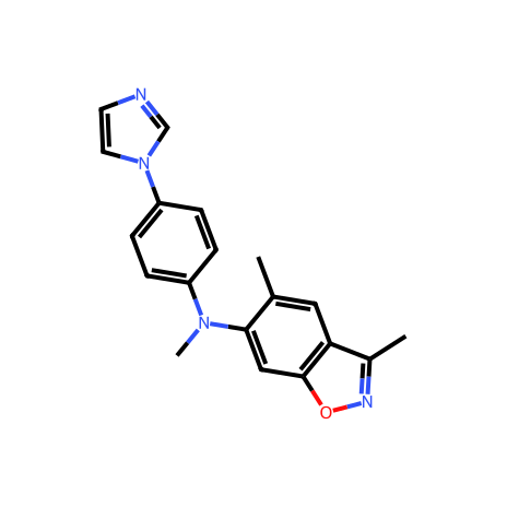 Cc1cc2c(C)noc2cc1N(C)c1ccc(-n2ccnc2)cc1